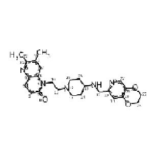 Cc1cc2c(ccc(=O)n2CCN2CCC(NCc3cc4c(cn3)OCCO4)CC2)nc1C